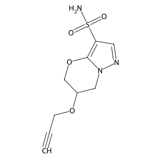 C#CCOC1COc2c(S(N)(=O)=O)cnn2C1